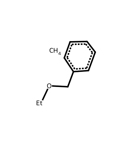 C.CCOCc1ccccc1